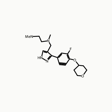 CNCCN(C)Cc1c[nH]nc1-c1c#cc(OC2CCOCC2)c(F)c1